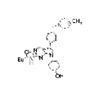 CCC(C)C(C)Nc1ncc2c(-c3ccc(CN4CCN(C)CC4)cc3)cn([C@H]3CC[C@H](O)CC3)c2n1